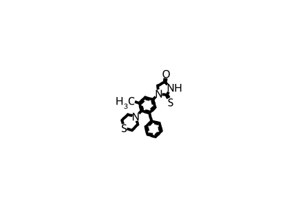 Cc1cc(N2CC(=O)NC2=S)cc(-c2ccccc2)c1N1CCSCC1